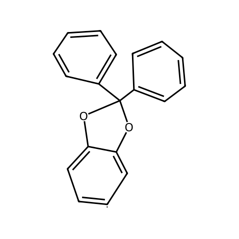 [c]1ccc2c(c1)OC(c1ccccc1)(c1ccccc1)O2